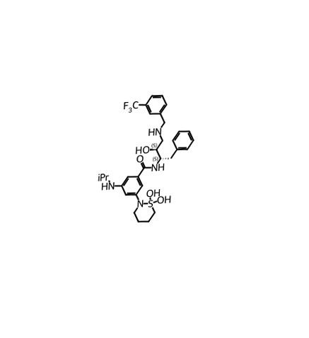 CC(C)Nc1cc(C(=O)N[C@@H](Cc2ccccc2)[C@@H](O)CNCc2cccc(C(F)(F)F)c2)cc(N2CCCCS2(O)O)c1